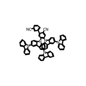 N#Cc1cccc(-c2cc(-n3c4ccc(-n5c6ccccc6c6ccccc65)cc4c4cc(-n5c6ccccc6c6ccccc65)ccc43)c(-n3c4ccccc4c4cc(-n5c6ccccc6c6ccccc65)ccc43)cc2C#N)c1